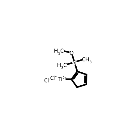 CO[Si](C)(C)C1=[C]([Ti+2])CC=C1.[Cl-].[Cl-]